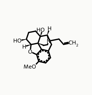 C=CCN1CC[C@@]23c4c5ccc(OC)c4O[C@@H]2[C@@H](O)CC[C@]3(O)[C@@H]1C5